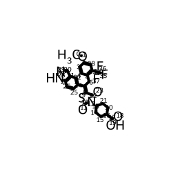 COc1ccc(C/C(=C2/SC(=O)N(C3CCC(C(=O)O)CC3)C2=O)c2ccc3[nH]ncc3c2)c(C(F)(F)F)c1